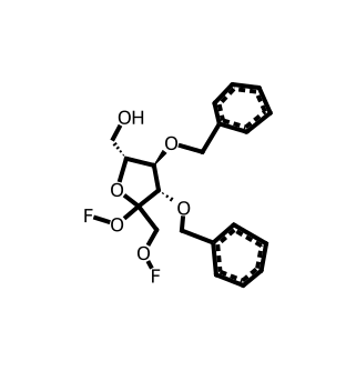 OC[C@H]1OC(COF)(OF)[C@@H](OCc2ccccc2)[C@@H]1OCc1ccccc1